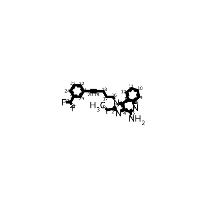 CCc1nc2c(N)nc3ccccc3c2n1CCCC#Cc1cccc(C(F)F)c1